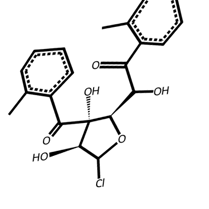 Cc1ccccc1C(=O)C(O)[C@H]1OC(Cl)[C@@H](O)[C@@]1(O)C(=O)c1ccccc1C